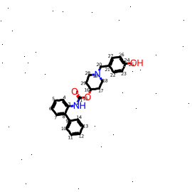 O=C(Nc1ccccc1-c1ccccc1)OC1CCN(Cc2ccc(O)cc2)CC1